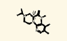 C=C1[C@@H]2CN(C(C)C)CCN2c2ncc(C)c(C)c2N1C